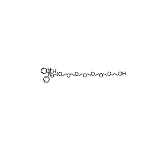 C[PH](OCCOCCOCCOCCOCCOCCOCCOCCCO)(C1=CC=CCC1)c1ccccc1